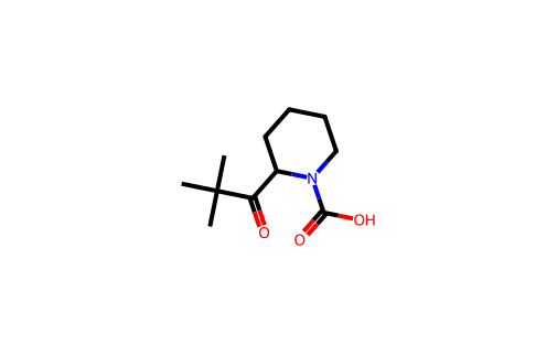 CC(C)(C)C(=O)C1CCCCN1C(=O)O